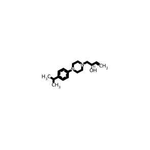 C=C[C@H](O)CN1CCN(c2ccc(C(C)C)cc2)CC1